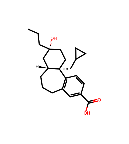 CCC[C@@]1(O)CC[C@@]2(CC3CC3)c3ccc(C(=O)O)cc3CCC[C@@H]2C1